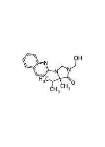 CC(C)C1(C)C(=O)N(CO)CN1c1ccc2ccccc2n1